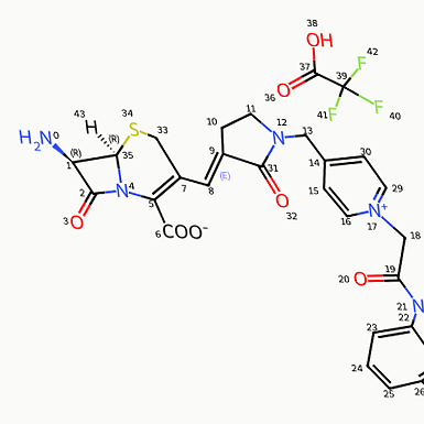 N[C@@H]1C(=O)N2C(C(=O)[O-])=C(/C=C3\CCN(Cc4cc[n+](CC(=O)Nc5cccc(O)c5)cc4)C3=O)CS[C@H]12.O=C(O)C(F)(F)F